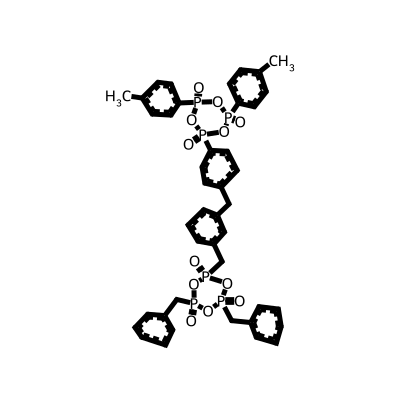 Cc1ccc(P2(=O)OP(=O)(c3ccc(C)cc3)OP(=O)(c3ccc(Cc4cccc(CP5(=O)OP(=O)(Cc6ccccc6)OP(=O)(Cc6ccccc6)O5)c4)cc3)O2)cc1